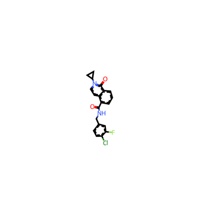 O=C(NCc1ccc(Cl)c(F)c1)c1cccc2c(=O)n(C3CC3)ccc12